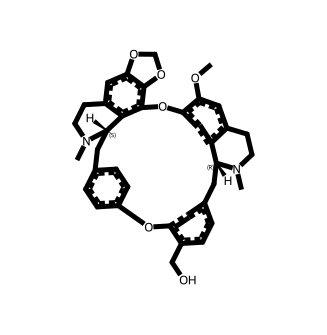 COc1cc2c3cc1Oc1c4c(cc5c1[C@H](Cc1ccc(cc1)Oc1cc(ccc1CO)C[C@H]3N(C)CC2)N(C)CC5)OCO4